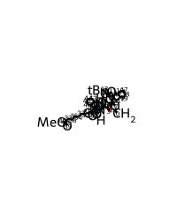 C=C[C@@H]1C[C@]1(NC(=O)C1(NC(=O)OC(C)(C)C)Cc2ccccc2C1)C(=O)NS(=O)(=O)N(C(=O)CCCCCCCC(=O)OC)c1ccccc1